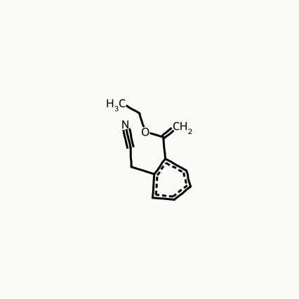 C=C(OCC)c1ccccc1CC#N